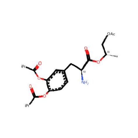 CC(=O)OC[C@H](C)OC(=O)[C@@H](N)Cc1ccc(OC(=O)C(C)C)c(OC(=O)C(C)C)c1